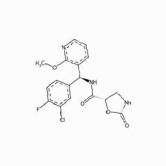 COc1ncccc1[C@@H](NC(=O)[C@@H]1CNC(=O)O1)c1ccc(F)c(Cl)c1